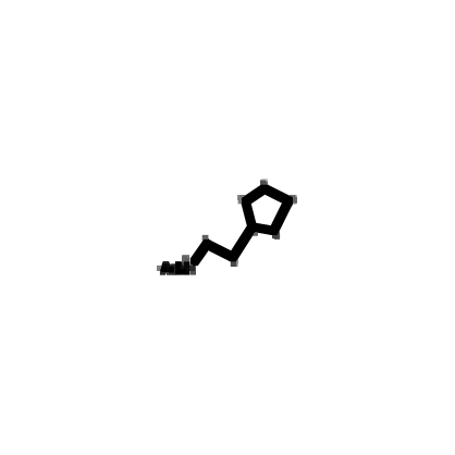 CC(=O)[N]CCC1CCCC1